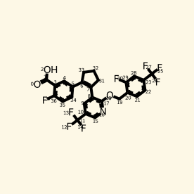 O=C(O)c1cc(C2=C(c3cc(C(F)(F)F)cnc3OCc3ccc(C(F)(F)F)cc3F)CCC2)ccc1F